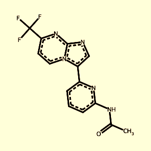 CC(=O)Nc1cccc(-c2cnc3nc(C(F)(F)F)ccn23)n1